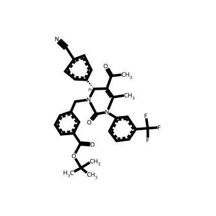 CC(=O)C1=C(C)N(c2cccc(C(F)(F)F)c2)C(=O)N(Cc2cccc(C(=O)OC(C)(C)C)c2)[C@@H]1c1ccc(C#N)cc1